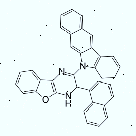 C1=Cc2c(n(C3=Nc4c(oc5ccccc45)NC3c3cccc4ccccc34)c3cc4ccccc4cc23)CC1